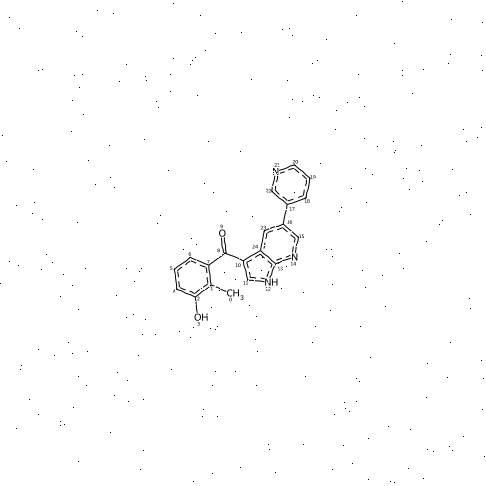 Cc1c(O)cccc1C(=O)c1c[nH]c2ncc(-c3cccnc3)cc12